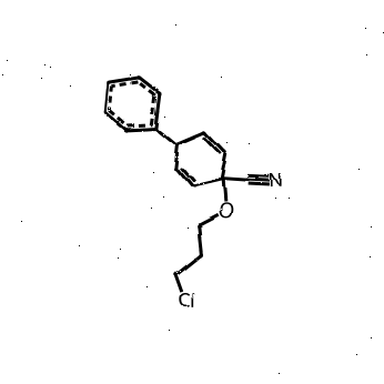 N#CC1(OCCCCl)C=CC(c2ccccc2)C=C1